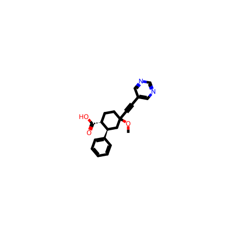 COC1(C#Cc2cncnc2)CC[C@@H](C(=O)O)[C@H](c2ccccc2)C1